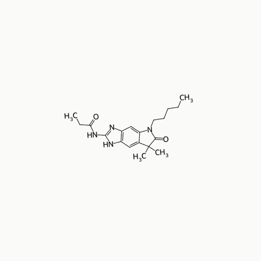 CCCCCN1C(=O)C(C)(C)c2cc3[nH]c(NC(=O)CC)nc3cc21